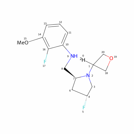 [2H]C1(N2C[C@H](F)C[C@H]2CNc2cccc(OC)c2F)COC1